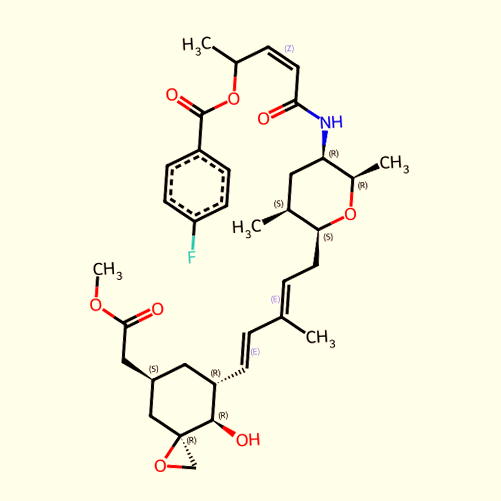 COC(=O)C[C@H]1C[C@H](/C=C/C(C)=C/C[C@@H]2O[C@H](C)[C@H](NC(=O)/C=C\C(C)OC(=O)c3ccc(F)cc3)C[C@@H]2C)[C@@H](O)[C@]2(CO2)C1